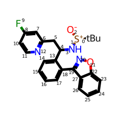 CC(C)(C)[S@+]([O-])NC(Cc1cc(F)ccn1)c1ccccc1-c1noc2ccccc12